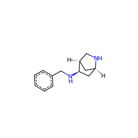 c1ccc(CN[C@@H]2C[C@H]3C[C@@H]2CN3)cc1